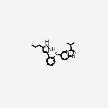 CCCC1C=C(c2ccccc2Sc2ccc3nnc(C(C)C)n3c2)NN1